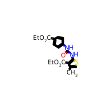 CCOC(=O)c1ccc(NC(=O)Nc2scc(C)c2C(=O)OCC)cc1